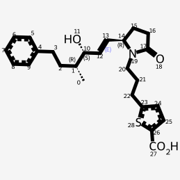 C[C@H](CCc1ccccc1)[C@H](O)/C=C/[C@H]1CCC(=O)N1CCCc1ccc(C(=O)O)s1